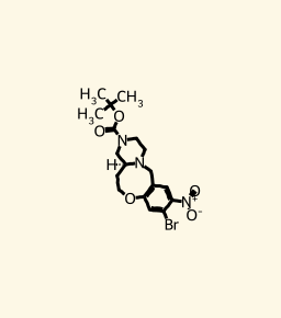 CC(C)(C)OC(=O)N1CCN2Cc3cc([N+](=O)[O-])c(Br)cc3OCC[C@H]2C1